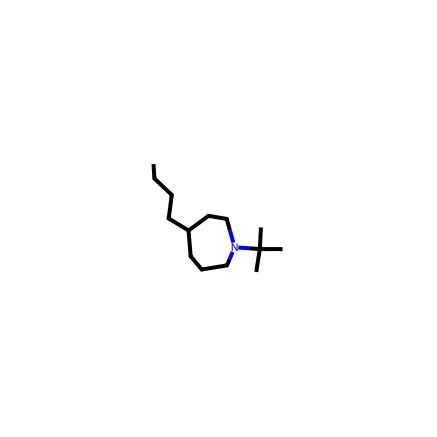 CCCCC1CCCN(C(C)(C)C)CC1